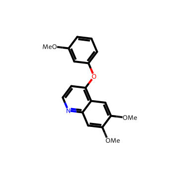 COc1cccc(Oc2ccnc3cc(OC)c(OC)cc23)c1